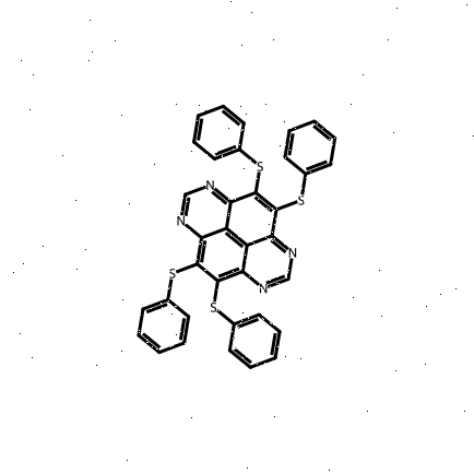 c1ccc(Sc2c(Sc3ccccc3)c3ncnc4c(Sc5ccccc5)c(Sc5ccccc5)c5ncnc2c5c34)cc1